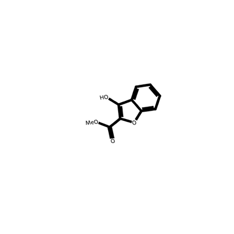 COC(=O)c1oc2ccccc2c1O